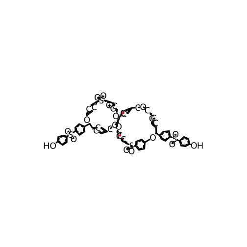 O=S1(=O)c2ccc(cc2)OC(c2ccc(S(=O)(=O)c3ccc(O)cc3)cc2)c2ccc(cc2)COCc2ccc(cc2)C2(OCc3ccc(cc3)C(c3ccc(S(=O)(=O)c4ccc(O)cc4)cc3)Oc3ccc(cc3)S(=O)(=O)c3ccc(cc3)O2)Oc2ccc1cc2